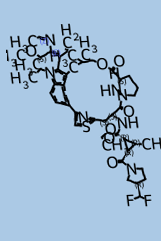 C=C/C(=C(\N=C/C)[C@H](C)OC)c1c2c3cc(ccc3n1CC)-c1csc(n1)[C@@H](OCC)[C@H](NC(=O)[C@@H]1[C@@H](C)[C@H]1C(=O)N1CC[C@@H](C(F)F)C1)C(=O)N1CCC[C@H](N1)C(=O)OCC(C)(C)C2